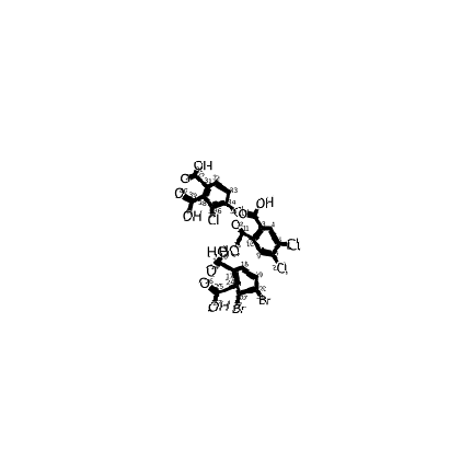 O=C(O)c1cc(Cl)c(Cl)cc1C(=O)O.O=C(O)c1ccc(Br)c(Br)c1C(=O)O.O=C(O)c1ccc(Cl)c(Cl)c1C(=O)O